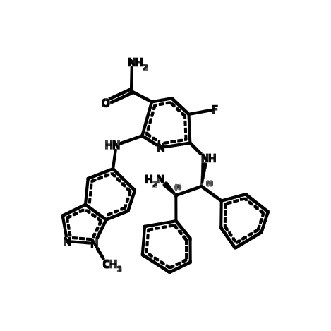 Cn1ncc2cc(Nc3nc(N[C@@H](c4ccccc4)[C@H](N)c4ccccc4)c(F)cc3C(N)=O)ccc21